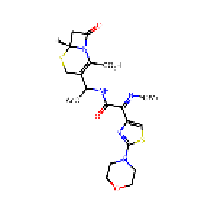 CON=C(C(=O)NC(OC(C)=O)C1=C(C(=O)O)N2C(=O)C[C@H]2SC1)c1csc(N2CCOCC2)n1